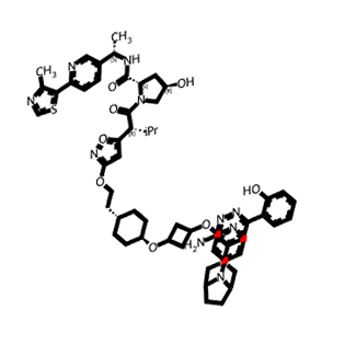 Cc1ncsc1-c1ccc([C@H](C)NC(=O)[C@@H]2C[C@@H](O)CN2C(=O)[C@@H](c2cc(OCC[C@H]3CC[C@H](OC4CC(Oc5cc(N6C7CCC6CN(c6cc(-c8ccccc8O)nnc6N)C7)ccn5)C4)CC3)no2)C(C)C)cn1